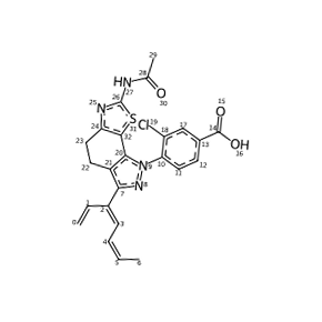 C=C/C(=C\C=C/C)c1nn(-c2ccc(C(=O)O)cc2Cl)c2c1CCc1nc(NC(C)=O)sc1-2